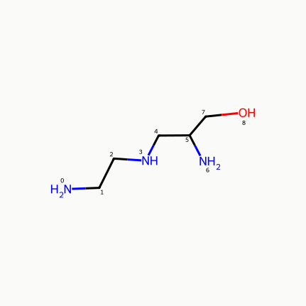 NCCNCC(N)CO